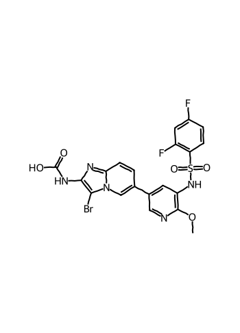 COc1ncc(-c2ccc3nc(NC(=O)O)c(Br)n3c2)cc1NS(=O)(=O)c1ccc(F)cc1F